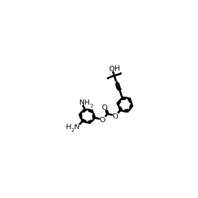 CC(C)(O)C#Cc1cccc(OC(=O)Oc2cc(N)cc(N)c2)c1